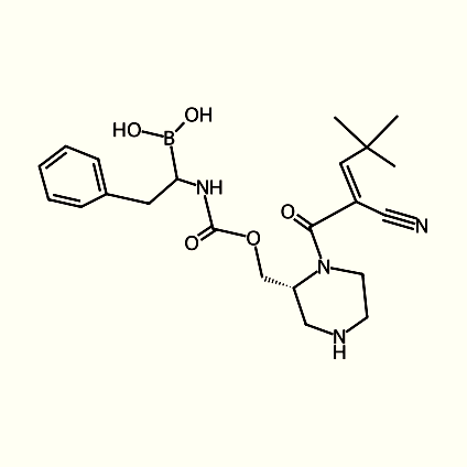 CC(C)(C)/C=C(\C#N)C(=O)N1CCNC[C@@H]1COC(=O)NC(Cc1ccccc1)B(O)O